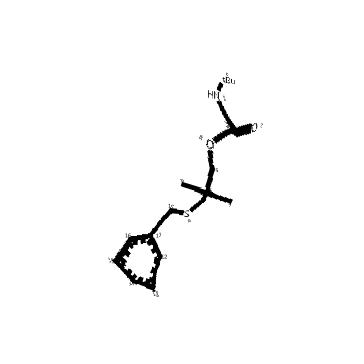 CC(C)(C)NC(=O)OCC(C)(C)SCc1ccccc1